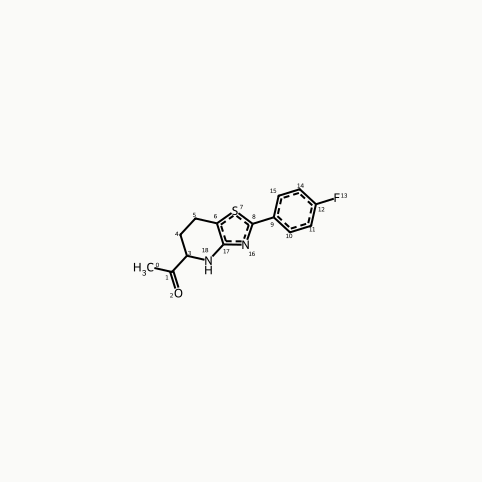 CC(=O)C1CCc2sc(-c3ccc(F)cc3)nc2N1